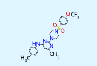 Cc1ccc(Nc2cc(C)nc(N3CCN(S(=O)(=O)c4ccc(OC(F)(F)F)cc4)CC3)n2)cc1